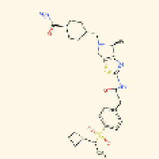 CC(C)[C@H]1c2nc(NC(=O)Cc3ccc(S(=O)(=O)C(C)C4CCC4)cc3)sc2CN1C[C@H]1CC[C@H](C(N)=O)CC1